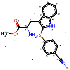 COC(=O)[C@@H](N)Cc1c(Sc2ccc(C#N)cc2)[nH]c2ccccc12